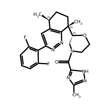 Cc1n[nH]c(C(=O)N2CCO[C@@H]([C@@]3(C)CC[C@H](C)c4cc(-c5c(F)cccc5F)nnc43)C2)n1